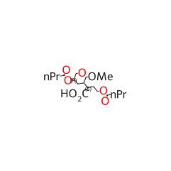 CCCC(=O)OCC[C@H](C(=O)O)C1C[C@@H](OC(=O)CCC)COC1OC